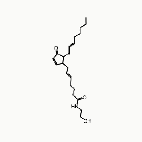 CCCCC/C=C/CC1C(=O)C=CC1C/C=C/CCCC(=O)NCCO